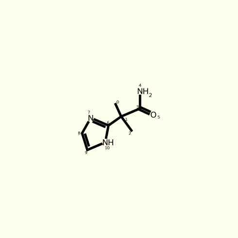 CC(C)(C(N)=O)c1ncc[nH]1